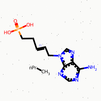 CCCC.Nc1ncnc2c1ncn2C/C=C/CCP(=O)(O)O